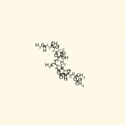 CNCCN(C)C(=O)C[C@@H]1C[C@@]2(CO2)[C@H](O)[C@@H](C=CC(C)=CC[C@@H]2O[C@H](C)[C@H](NC(=O)C=CC(C)OC(C)=O)C[C@@H]2C)O1